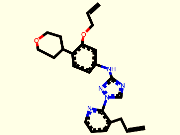 C=CCOc1cc(Nc2ncn(-c3ncccc3CC=C)n2)ccc1C1CCOCC1